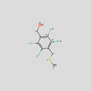 CC(C)SCc1c(F)c(F)c(CO)c(F)c1F